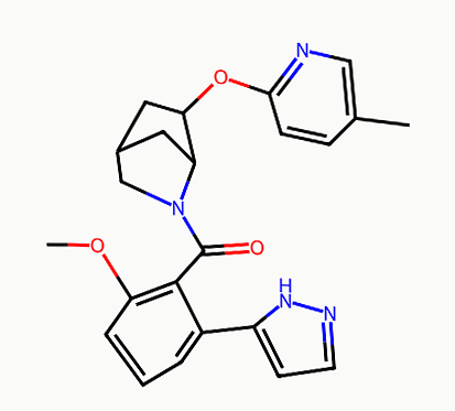 COc1cccc(-c2ccn[nH]2)c1C(=O)N1CC2CC(Oc3ccc(C)cn3)C1C2